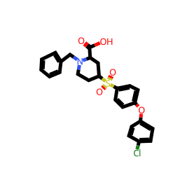 O=C(O)C1CC(S(=O)(=O)c2ccc(Oc3ccc(Cl)cc3)cc2)CCN1Cc1ccccc1